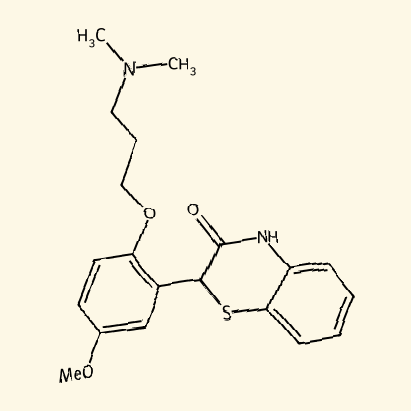 COc1ccc(OCCCN(C)C)c(C2Sc3ccccc3NC2=O)c1